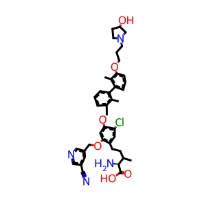 Cc1c(COc2cc(OCc3cncc(C#N)c3)c(CCC(C)[C@H](N)C(=O)O)cc2Cl)cccc1-c1cccc(OCCCN2CCC(O)C2)c1C